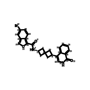 O=C(N[C@H]1CC2(C1)C[C@H](c1n[nH]c(=O)c3ccccc31)C2)c1onc2cc(Br)ccc12